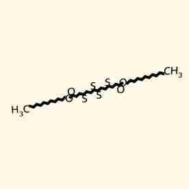 CCCCCCCCCCCCOC(=O)CCC(=S)CCC(=S)C(=S)CCC(=S)CCC(=O)OCCCCCCCCCCCC